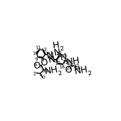 CC(C)[C@H](N)C(=O)Oc1ccccc1/N=N/c1ccc(NC(=O)CN)nc1N